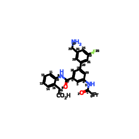 CC(C)C(=O)Nc1cc(C(=O)Nc2ccccc2CC(=O)O)cc(-c2cc(F)cc(CN)c2)c1